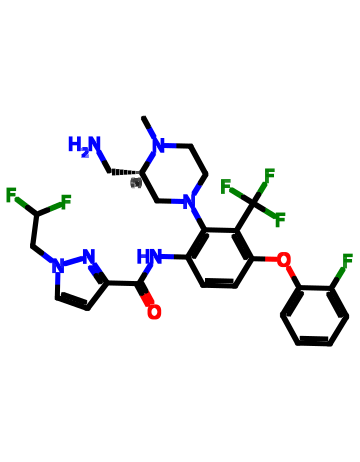 CN1CCN(c2c(NC(=O)c3ccn(CC(F)F)n3)ccc(Oc3ccccc3F)c2C(F)(F)F)C[C@@H]1CN